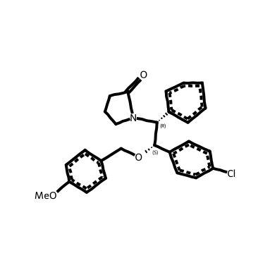 COc1ccc(CO[C@@H](c2ccc(Cl)cc2)[C@@H](c2ccccc2)N2CCCC2=O)cc1